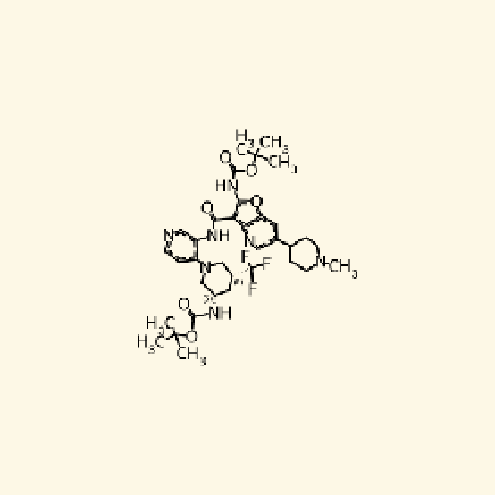 CN1CCC(c2cnc3c(C(=O)Nc4cnccc4N4C[C@@H](NC(=O)OC(C)(C)C)C[C@@H](C(F)(F)F)C4)c(NC(=O)OC(C)(C)C)oc3c2)CC1